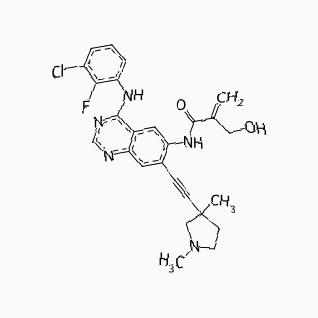 C=C(CO)C(=O)Nc1cc2c(Nc3cccc(Cl)c3F)ncnc2cc1C#CC1(C)CCN(C)C1